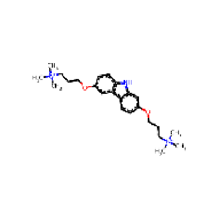 C[N+](C)(C)CCCOc1ccc2c(c1)[nH]c1ccc(OCCC[N+](C)(C)C)cc12